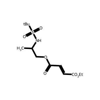 CCOC(=O)/C=C/C(=O)OCC(C)NS(=O)(=O)C(C)(C)C